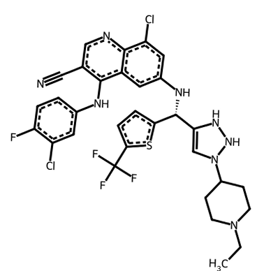 CCN1CCC(N2C=C([C@@H](Nc3cc(Cl)c4ncc(C#N)c(Nc5ccc(F)c(Cl)c5)c4c3)c3ccc(C(F)(F)F)s3)NN2)CC1